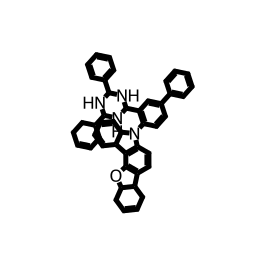 C1=CC2c3c(ccc4c3OC3CC=CCC43)N(c3ccc(-c4ccccc4)cc3C3NC(c4ccccc4)NC(C4CC=CCC4)N3)C2C=C1